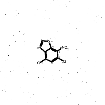 O=[N+]([O-])c1c(Cl)cc(Cl)c2ncsc12